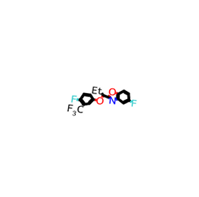 CCC(Oc1ccc(F)c(C(F)(F)F)c1)c1nc2cc(F)ccc2o1